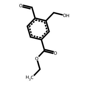 CCOC(=O)c1ccc(C=O)c(CO)c1